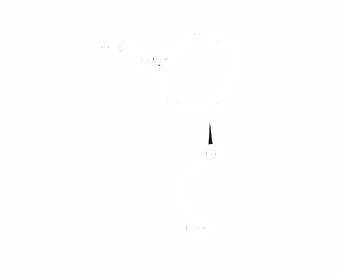 [CH2-][NH+]1CCC[C@@H](OCC)C1